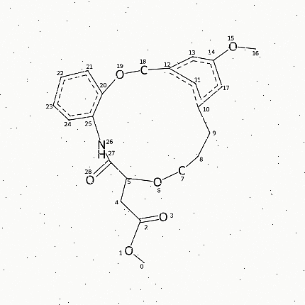 COC(=O)CC1OCCCc2cc(cc(OC)c2)COc2ccccc2NC1=O